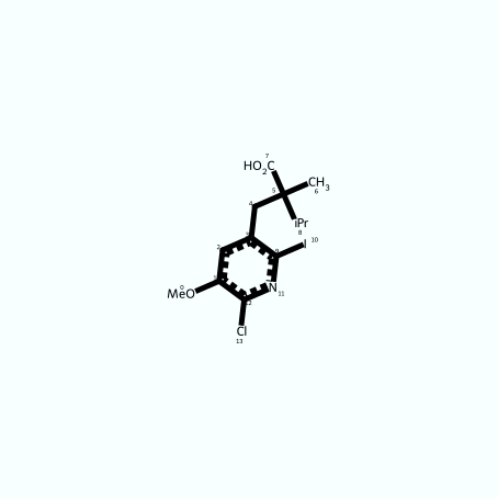 COc1cc(CC(C)(C(=O)O)C(C)C)c(I)nc1Cl